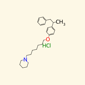 CC(Cc1ccccc1)c1ccc(OCCCCCCCN2CCCCC2)cc1.Cl